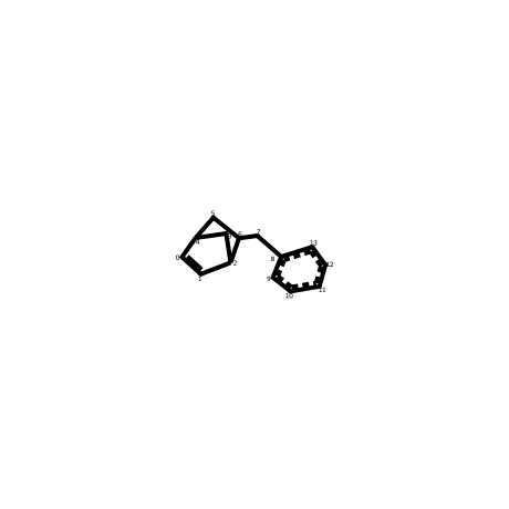 C1=CC2CC1C[C]2Cc1ccccc1